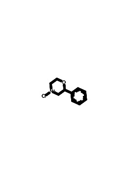 Cl[N+]1CCOC(c2ccccc2)C1